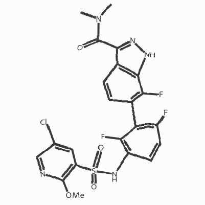 COc1ncc(Cl)cc1S(=O)(=O)Nc1ccc(F)c(-c2ccc3c(C(=O)N(C)C)n[nH]c3c2F)c1F